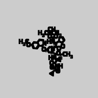 CC[C@@H]1C[C@]1(NC(=O)[C@@H]1C[C@@H](Oc2nccc3cc(OC)ccc23)CN1C(=O)[C@@H](NC(=O)OC(C)(C)C)C1CC=CC1=O)C(=O)NS(=O)(=O)C1CC1